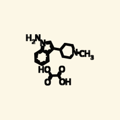 CN1CCC(c2cn(N)c3ccccc23)CC1.O=C(O)C(=O)O